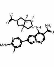 CCC(=O)N1C[C@H]2C[C@@H](Nc3c(C(N)=O)cnn4cc(-c5cnc(NC)c(F)c5)cc34)[C@@H](C)[C@@H]2C1